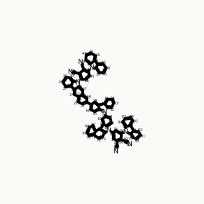 N#Cc1cc(-n2c3ccc(-n4c5ccccc5c5cc(-c6ccc7cc8c9ccccc9n(-c9ccc(-n%10c%11ccccc%11c%11ccccc%11%10)c(C#N)c9C#N)c8cc7c6)ccc54)cc3c3c4ccccc4ccc32)cc(-n2c3ccccc3c3ccccc32)c1C#N